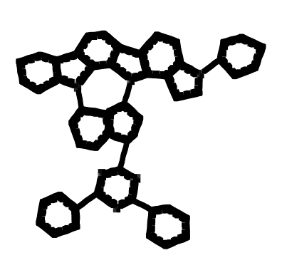 c1ccc(-c2nc(-c3ccccc3)nc(-c3ccc(-n4c5c(ccc6c5ccn6-c5ccccc5)c5ccc6c7ccccc7n(-c7ccccc7)c6c54)cc3)n2)cc1